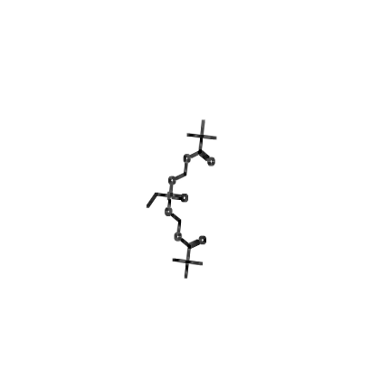 CCP(=O)(OCOC(=O)C(C)(C)C)OCOC(=O)C(C)(C)C